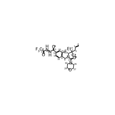 C=CCC(CC)(CC)CN(Cc1ccc(C(=O)NNC(=O)C(F)(F)F)cc1F)C(=O)N1CCOCC1